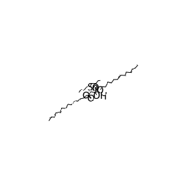 CCCCCCCCCCCCCOC(=O)CC(O)C(=O)OCCCCCCCCCCCCC.CCC[CH2][Sn][CH2]CCC